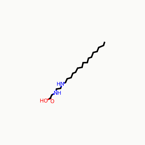 CCCCCCCCCCCCCCCCNCCNCC(=O)O